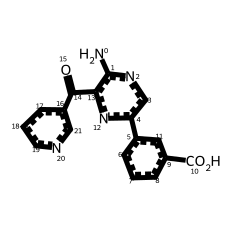 Nc1ncc(-c2cccc(C(=O)O)c2)nc1C(=O)c1cccnc1